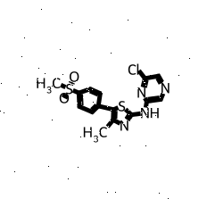 Cc1nc(Nc2cncc(Cl)n2)sc1-c1ccc(S(C)(=O)=O)cc1